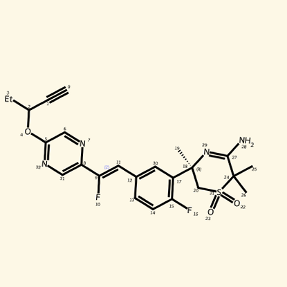 C#CC(CC)Oc1cnc(/C(F)=C/c2ccc(F)c([C@]3(C)CS(=O)(=O)C(C)(C)C(N)=N3)c2)cn1